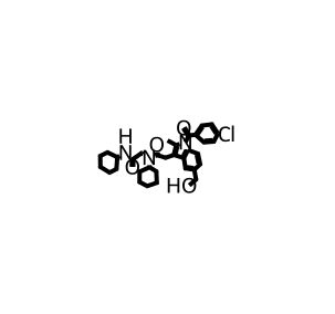 Cc1c(CC(=O)N(CC(=O)NC2CCCCC2)C2CCCCC2)c2cc(CO)ccc2n1C(=O)c1ccc(Cl)cc1